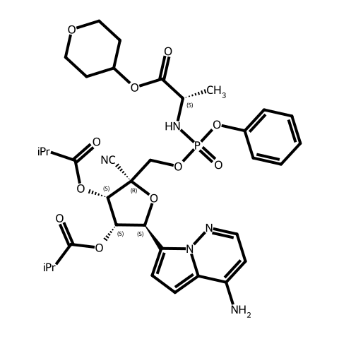 CC(C)C(=O)O[C@H]1[C@H](c2ccc3c(N)ccnn23)O[C@](C#N)(COP(=O)(N[C@@H](C)C(=O)OC2CCOCC2)Oc2ccccc2)[C@H]1OC(=O)C(C)C